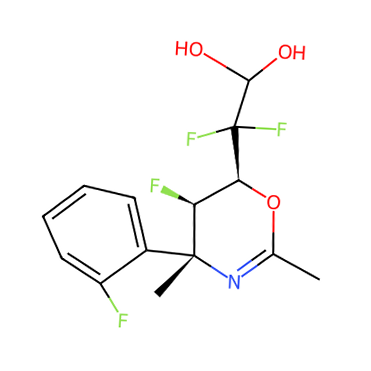 CC1=N[C@](C)(c2ccccc2F)[C@@H](F)[C@@H](C(F)(F)C(O)O)O1